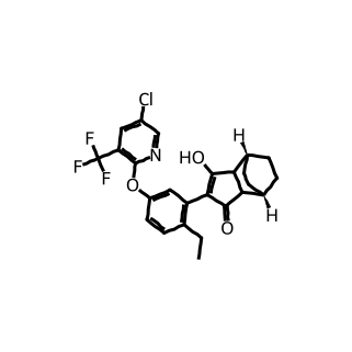 CCc1ccc(Oc2ncc(Cl)cc2C(F)(F)F)cc1C1=C(O)C2C(C1=O)[C@H]1CC[C@@H]2CC1